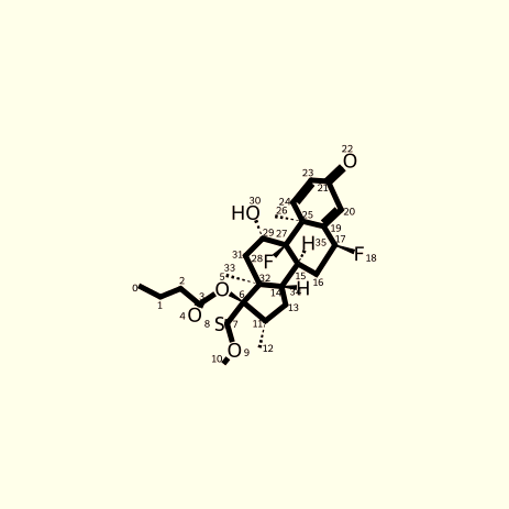 CCCC(=O)O[C@]1(C(=S)OC)[C@@H](C)C[C@H]2[C@@H]3C[C@H](F)C4=CC(=O)C=C[C@]4(C)[C@@]3(F)[C@@H](O)C[C@@]21C